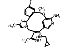 CC(=N)/C1=C(\NCC2CC2)c2cnc(N)c(c2)O[C@H](C)c2cc(F)ccc2-c2nc(C)cn2C1